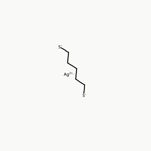 [Ag+2].[S-]CCCCC[S-]